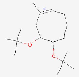 C/C1=C/CCCC(OC(C)(C)C)C(OC(C)(C)C)C1